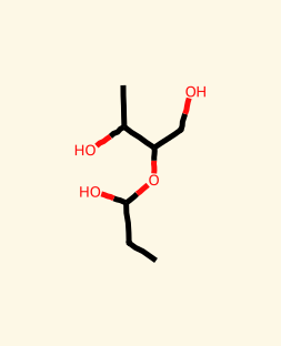 CCC(O)OC(CO)C(C)O